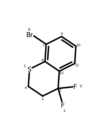 FC1(F)CCSc2c(Br)cccc21